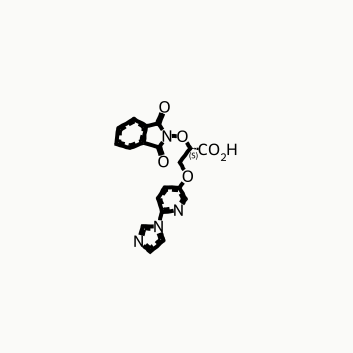 O=C(O)[C@H](COc1ccc(-n2ccnc2)nc1)ON1C(=O)c2ccccc2C1=O